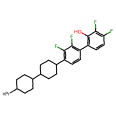 CCCC1CCC(C2CCC(c3ccc(-c4ccc(F)c(F)c4O)c(F)c3F)CC2)CC1